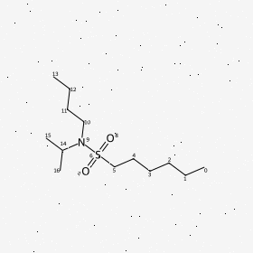 CCCCCCS(=O)(=O)N(CCCC)C(C)C